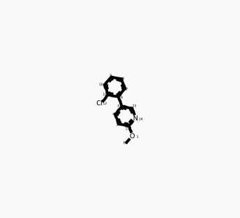 COc1ccc(-c2ccc[c]c2Cl)cn1